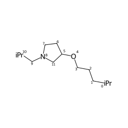 CC(C)CCCOC1CCN(CC(C)C)C1